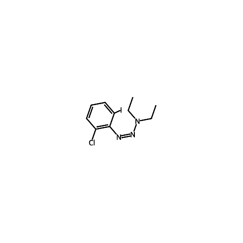 CCN(CC)/N=N\c1c(Cl)cccc1I